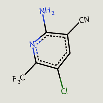 N#Cc1cc(Cl)c(C(F)(F)F)nc1N